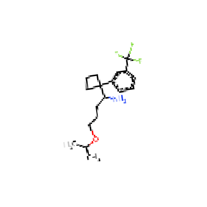 CC(C)OCCCC(N)C1(c2cccc(C(F)(F)F)c2)CCC1